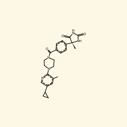 Cc1cc(C2CC2)cnc1N1CCN(C(=O)c2ccc([C@@]3(C)NC(=O)NC3=O)cc2)CC1